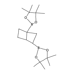 CC1(C)OB(C2CC3(B4OC(C)(C)C(C)(C)O4)CCC23)OC1(C)C